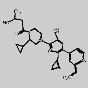 C=Cc1cc(-c2cc(C#N)c(N3CCN(C(=O)CC(C)O)C(C4CC4)C3)nc2C2CC2)ccn1